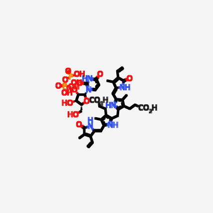 C=CC1=C(C)/C(=C/c2[nH]c(Cc3[nH]c(/C=C4\NC(=O)C(C)=C4C=C)c(C)c3CCC(=O)O)c(CCC(=O)O)c2C)NC1=O.O=P(O)(O)OP(=O)(O)O.O=c1ccn([C@@H]2O[C@H](CO)[C@@H](O)[C@H]2O)c(=O)[nH]1